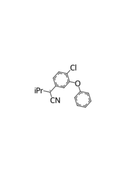 CC(C)[C](C#N)c1ccc(Cl)c(Oc2ccccc2)c1